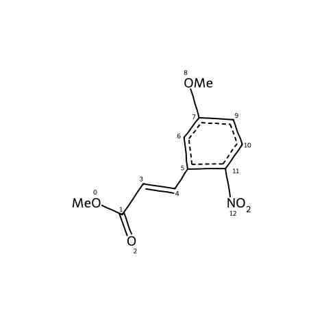 COC(=O)/C=C/c1cc(OC)ccc1[N+](=O)[O-]